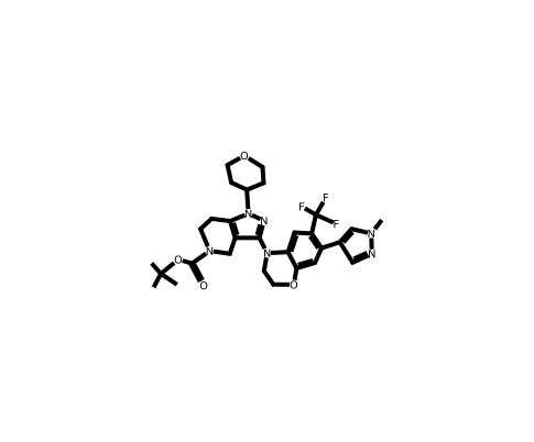 Cn1cc(-c2cc3c(cc2C(F)(F)F)N(c2nn(C4CCOCC4)c4c2CN(C(=O)OC(C)(C)C)CC4)CCO3)cn1